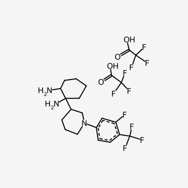 NC1CCCCC1(N)C1CCCN(c2ccc(C(F)(F)F)c(F)c2)C1.O=C(O)C(F)(F)F.O=C(O)C(F)(F)F